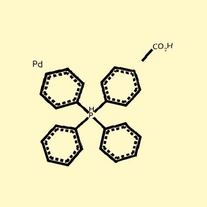 CC(=O)O.[Pd].c1ccc([PH](c2ccccc2)(c2ccccc2)c2ccccc2)cc1